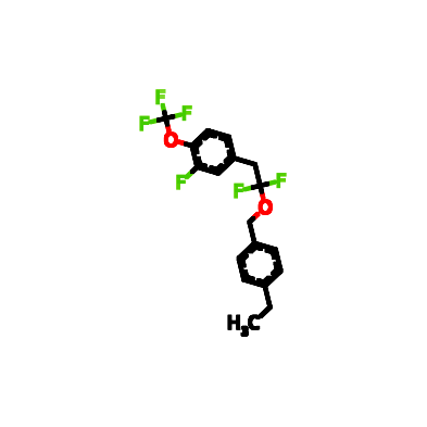 CCc1ccc(COC(F)(F)Cc2ccc(OC(F)(F)F)c(F)c2)cc1